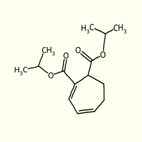 CC(C)OC(=O)C1=CC=CCCC1C(=O)OC(C)C